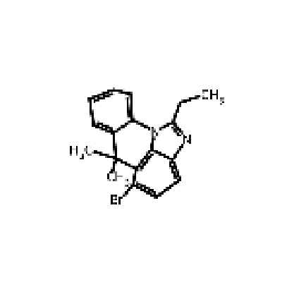 CCc1nc2ccc(Br)c3c2n1-c1ccccc1C3(C)C